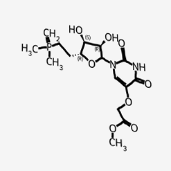 C=P(C)(C)CC[C@H]1OC(n2cc(OCC(=O)OC)c(=O)[nH]c2=O)[C@H](O)[C@@H]1O